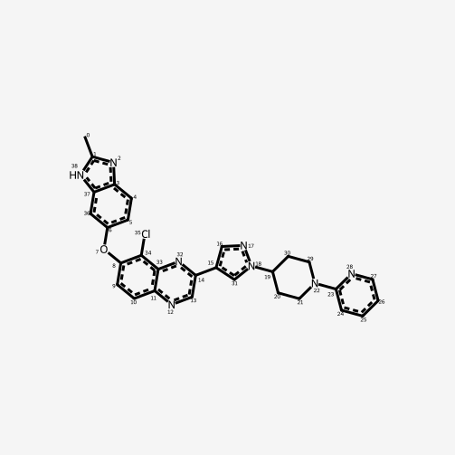 Cc1nc2ccc(Oc3ccc4ncc(-c5cnn(C6CCN(c7ccccn7)CC6)c5)nc4c3Cl)cc2[nH]1